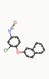 O=C=Nc1ccc(Oc2ccc3ccccc3c2)c(Cl)c1